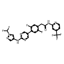 O=C(Cc1cc(F)c(-c2cnc(Nc3cnn(C(F)F)c3)nc2)cc1F)Nc1cc(C(F)(F)F)ccn1